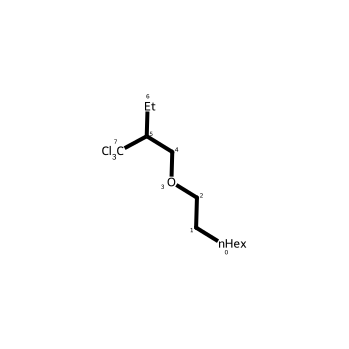 [CH2]CCCCCCCOCC(CC)C(Cl)(Cl)Cl